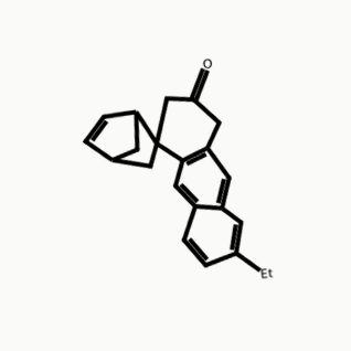 CCc1ccc2cc3c(cc2c1)CC(=O)CC31CC2C=CC1C2